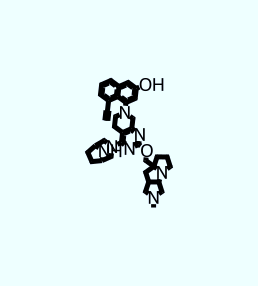 C#Cc1cccc2cc(O)cc(N3CCc4c(nc(OCC56CCCN5C5CN(C)CC5C6)nc4N4CC5CCC(C4)N5)C3)c12